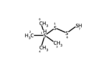 C[SH](C)(C)(C)SSS